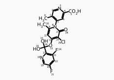 Cc1cnc(C(=O)O)cc1-n1c(C)cc(OC(O)(O)c2ncc(F)cc2F)c(Cl)c1=O